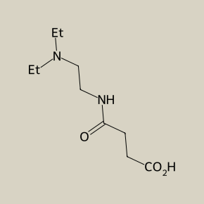 CCN(CC)CCNC(=O)CCC(=O)O